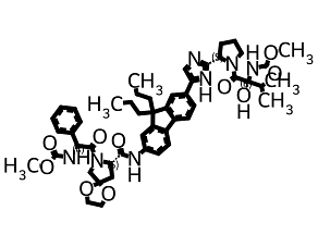 CCCC1(CCC)c2cc(NC(=O)[C@@H]3CC4(CN3C(=O)[C@H](NC(=O)OC)c3ccccc3)OCCO4)ccc2-c2ccc(-c3cnc([C@@H]4CCCN4C(=O)[C@@](O)(NC(=O)OC)C(C)C)[nH]3)cc21